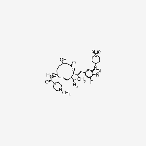 C/C(=C\c1cc(F)c2nnn(C3CCS(=O)(=O)CC3)c2c1)[C@H]1OC(=O)C[C@H](O)CC[C@H](C)[C@@H](C2CN(C)CCN2C(=O)O)/C=C/[C@@H]1C